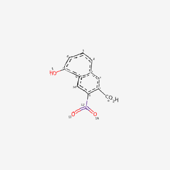 O=C(O)c1cc2cccc(O)c2cc1I(=O)=O